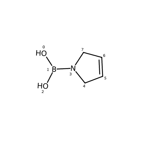 OB(O)N1CC=CC1